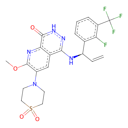 C=C[C@@H](Nc1n[nH]c(=O)c2nc(OC)c(N3CCS(=O)(=O)CC3)cc12)c1cccc(C(F)(F)F)c1F